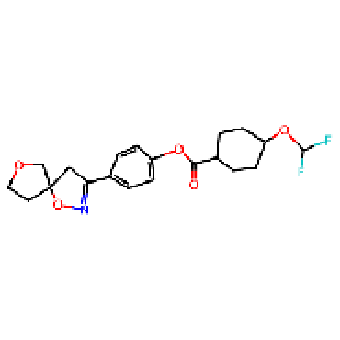 O=C(Oc1ccc(C2=NOC3(CCOC3)C2)cc1)C1CCC(OC(F)F)CC1